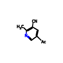 CC(=O)c1cnc(C)c(C#N)c1